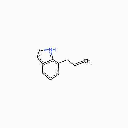 C=CCc1cccc2[c]c[nH]c12